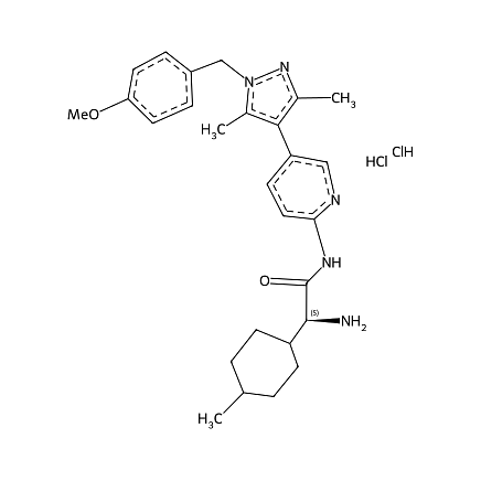 COc1ccc(Cn2nc(C)c(-c3ccc(NC(=O)[C@@H](N)C4CCC(C)CC4)nc3)c2C)cc1.Cl.Cl